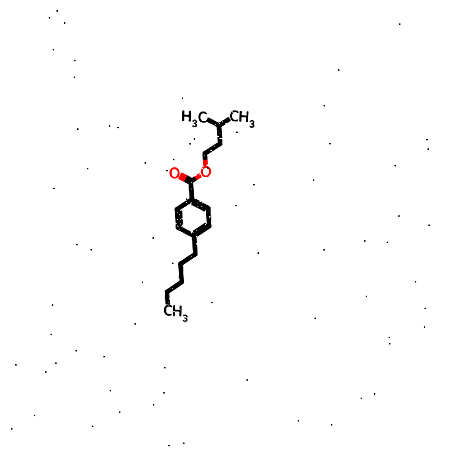 CCCCCc1ccc(C(=O)OCCC(C)C)cc1